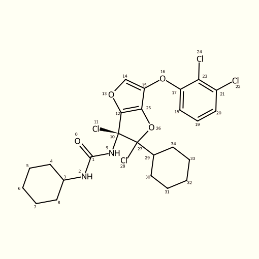 O=C(NC1CCCCC1)N[C@]1(Cl)c2occ(Oc3cccc(Cl)c3Cl)c2OC1(Cl)C1CCCCC1